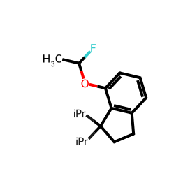 CC(F)Oc1cccc2c1C(C(C)C)(C(C)C)CC2